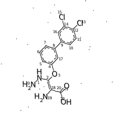 NN/C(Oc1cccc(-c2ccc(Cl)c(Cl)c2)c1)=C(\N)C(=O)O